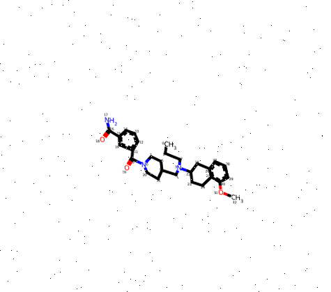 CCCN(CC1CCN(C(=O)c2cccc(C(N)=O)c2)CC1)C1CCc2c(cccc2OC)C1